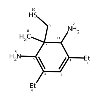 CCC1=CC(CC)=C(N)C(C)(CS)C1N